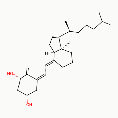 C=C1/C(=C\C=C2/CCC[C@@]3(C)[C@@H]2CC[C@H]3[C@@H](C)CCCC(C)C)C[C@H](O)C[C@@H]1O